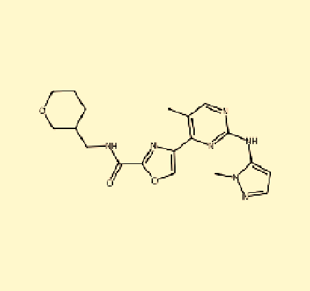 Cc1cnc(Nc2ccnn2C)nc1-c1coc(C(=O)NCC2CCCOC2)n1